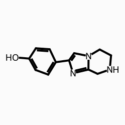 Oc1ccc(-c2cn3c(n2)CNCC3)cc1